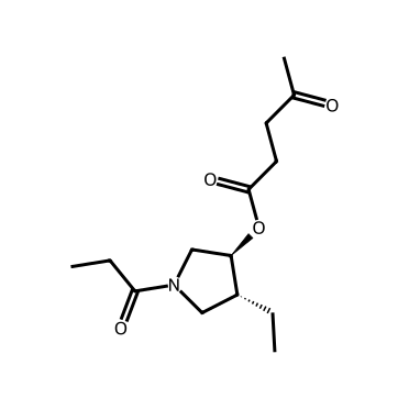 CCC(=O)N1C[C@@H](CC)[C@H](OC(=O)CCC(C)=O)C1